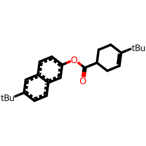 CC(C)(C)C1=CCC(C(=O)Oc2ccc3cc(C(C)(C)C)ccc3c2)CC1